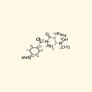 CCCCC[C@H](CN(O)C=O)C(=O)N(N)C(=O)c1ccc(NC)cc1